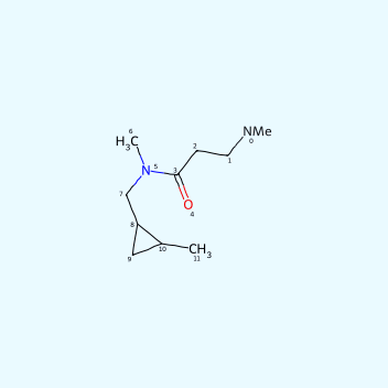 CNCCC(=O)N(C)CC1CC1C